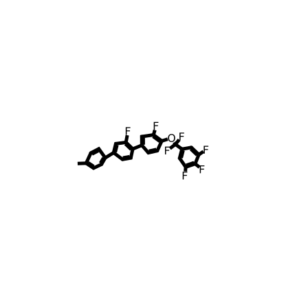 Cc1ccc(-c2ccc(-c3ccc(OC(F)(F)c4cc(F)c(F)c(F)c4)c(F)c3)c(F)c2)cc1